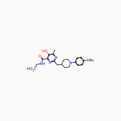 CCCCc1ccc(N2CCC(Cc3nc(C)c(O)c(C(=O)NCC(=O)O)n3)CC2)cc1